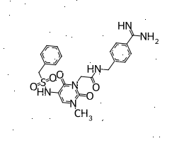 Cn1cc(NS(=O)(=O)Cc2ccccc2)c(=O)n(CC(=O)NCc2ccc(C(=N)N)cc2)c1=O